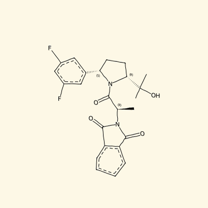 C[C@H](C(=O)N1[C@H](c2cc(F)cc(F)c2)CC[C@@H]1C(C)(C)O)N1C(=O)c2ccccc2C1=O